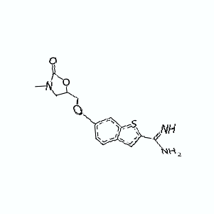 CN1CC(COc2ccc3cc(C(=N)N)sc3c2)OC1=O